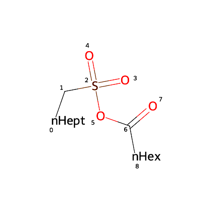 CCCCCCCCS(=O)(=O)OC(=O)CCCCCC